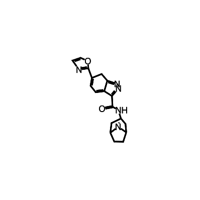 CN1C2CCC1CC(NC(=O)C1=NN=C3CC(c4ncco4)=CC=C31)C2